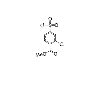 COC(=O)c1ccc(S(=O)(=O)Cl)cc1Cl